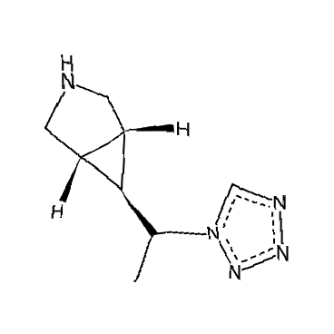 CC([C@H]1[C@@H]2CNC[C@@H]21)n1cnnn1